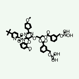 COc1ccc(-c2nc(NS(=O)(=O)c3ccc(C(C)(C)C)cn3)c(Oc3ccccc3OC)c(OCC(COC(=O)c3cccc(CON(O)O)c3)OC(=O)c3cccc(CON(O)O)c3)n2)cc1